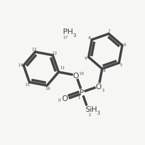 O=P([SiH3])(Oc1ccccc1)Oc1ccccc1.P